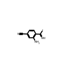 N#Cc1ccc(C(=N)I)c(N)c1